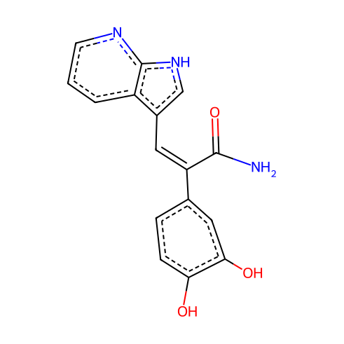 NC(=O)C(=Cc1c[nH]c2ncccc12)c1ccc(O)c(O)c1